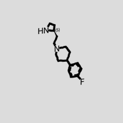 Fc1ccc(C2CCN(CC[C@@H]3CCN3)CC2)cc1